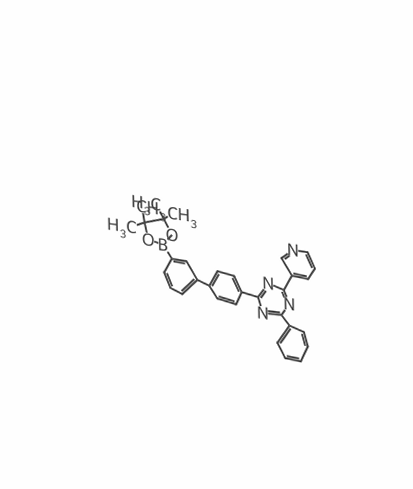 CC1(C)OB(c2cccc(-c3ccc(-c4nc(-c5ccccc5)nc(-c5cccnc5)n4)cc3)c2)OC1(C)C